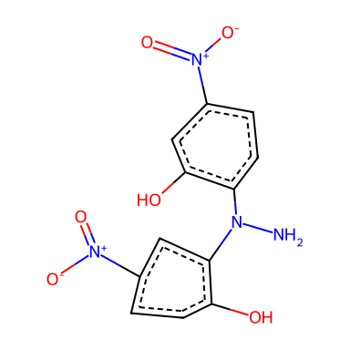 NN(c1ccc([N+](=O)[O-])cc1O)c1cc([N+](=O)[O-])ccc1O